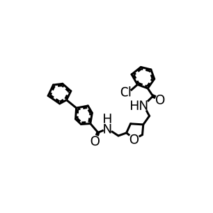 O=C(NCC1CC(CNC(=O)c2ccccc2Cl)CO1)c1ccc(-c2ccccc2)cc1